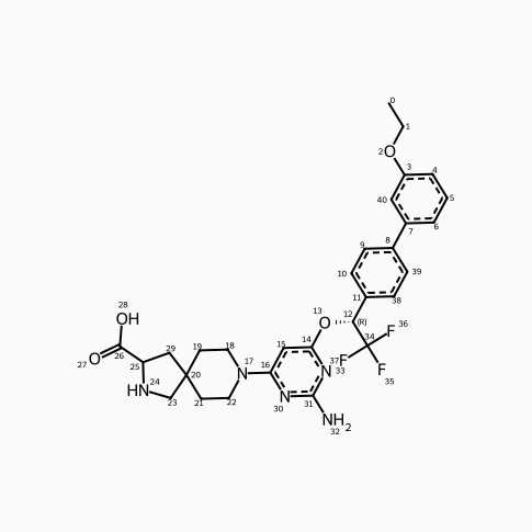 CCOc1cccc(-c2ccc([C@@H](Oc3cc(N4CCC5(CC4)CNC(C(=O)O)C5)nc(N)n3)C(F)(F)F)cc2)c1